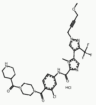 COCC#CCn1cc(-c2cnc(C(=O)Nc3ccc(C(=O)N4CCN(C(=O)C5CCNCC5)CC4)c(Cl)c3)n2C)c(C(F)(F)F)n1.Cl